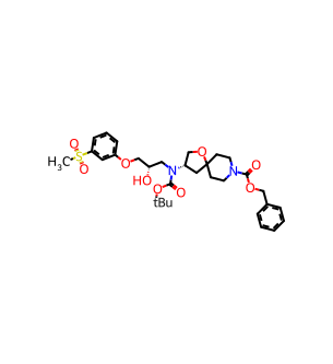 CC(C)(C)OC(=O)N(C[C@H](O)COc1cccc(S(C)(=O)=O)c1)[C@@H]1COC2(CCN(C(=O)OCc3ccccc3)CC2)C1